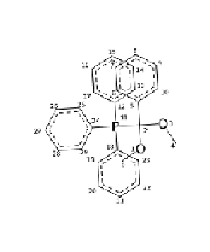 COC(OC)(c1ccccc1)[P](c1ccccc1)(c1ccccc1)c1ccccc1